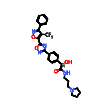 O=C(NCCCN1CCCC1)[C@@H](O)c1ccc(-c2noc(-c3onc(-c4ccccc4)c3C(F)(F)F)n2)cc1